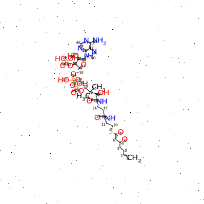 C=CCCC(=O)CC(=O)SCCNC(=O)CCNC(=O)[C@H](O)C(C)(C)COP(=O)(O)OP(=O)(O)OC[C@H]1O[C@@H](n2cnc3c(N)ncnc32)[C@H](O)[C@@H]1OP(=O)(O)O